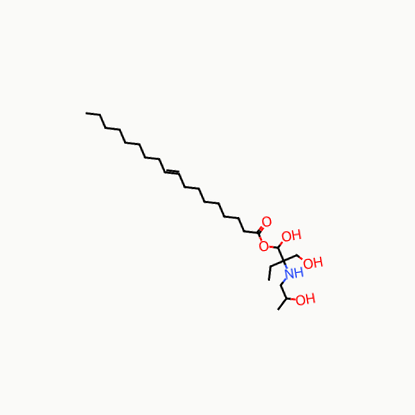 CCCCCCCCC=CCCCCCCCC(=O)OC(O)C(CC)(CO)NCC(C)O